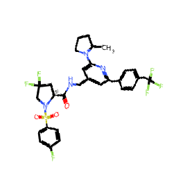 CC1CCCN1c1cc(CNC(=O)[C@@H]2CC(F)(F)CN2S(=O)(=O)c2ccc(F)cc2)cc(-c2ccc(C(F)(F)F)cc2)n1